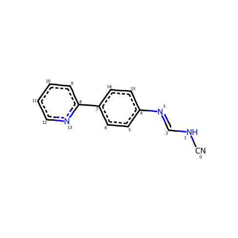 N#CN/C=N/c1ccc(-c2ccccn2)cc1